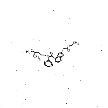 CCOC(=O)Cc1cn2c(C(=O)N(CCCC(C)C)c3ccccc3)cccc2n1